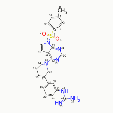 Cc1ccc(S(=O)(=O)n2ccc3c(N4CCCC(c5cccc(NC(=N)N)c5)C4)ncnc32)cc1